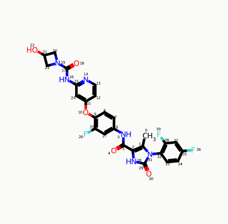 Cc1c(C(=O)Nc2ccc(Oc3ccnc(NC(=O)N4CC(O)C4)c3)c(F)c2)[nH]c(=O)n1-c1ccc(F)cc1F